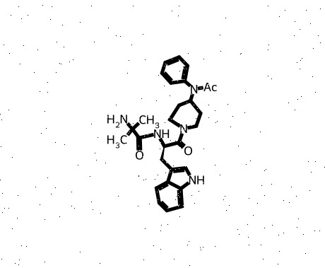 CC(=O)N(c1ccccc1)C1CCN(C(=O)[C@@H](Cc2c[nH]c3ccccc23)NC(=O)C(C)(C)N)CC1